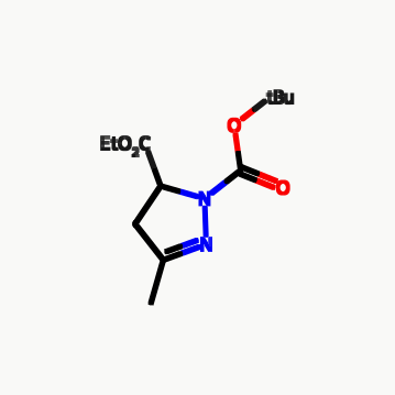 CCOC(=O)C1CC(C)=NN1C(=O)OC(C)(C)C